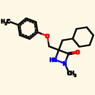 Cc1ccc(OCC2(CC3CCCCC3)NN(C)C2=O)cc1